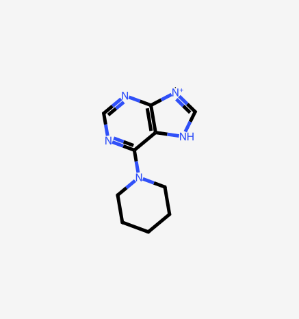 C1=[N+]c2ncnc(N3CCCCC3)c2N1